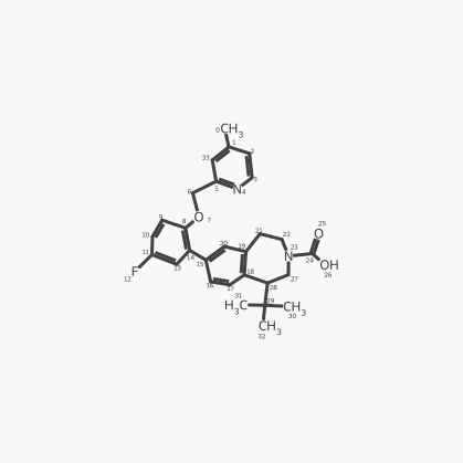 Cc1ccnc(COc2ccc(F)cc2-c2ccc3c(c2)CCN(C(=O)O)CC3C(C)(C)C)c1